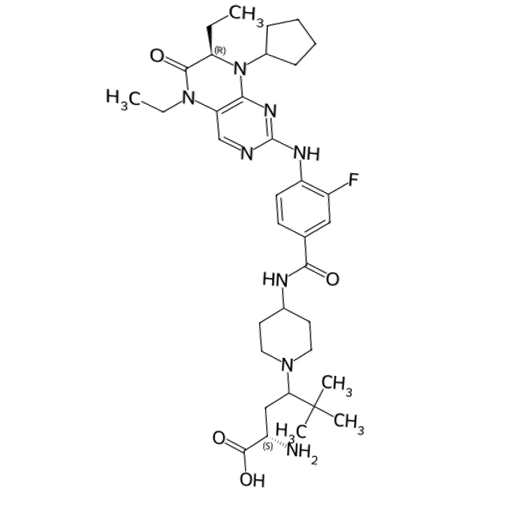 CC[C@@H]1C(=O)N(CC)c2cnc(Nc3ccc(C(=O)NC4CCN(C(C[C@H](N)C(=O)O)C(C)(C)C)CC4)cc3F)nc2N1C1CCCC1